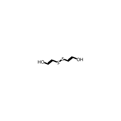 OC=CSSC=CO